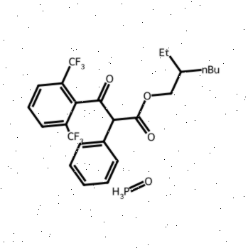 CCCCC(CC)COC(=O)C(C(=O)c1c(C(F)(F)F)cccc1C(F)(F)F)c1ccccc1.O=[PH3]